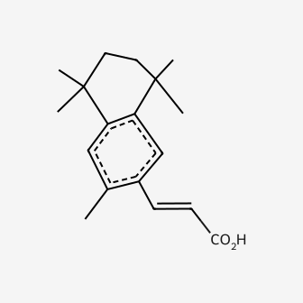 Cc1cc2c(cc1C=CC(=O)O)C(C)(C)CCC2(C)C